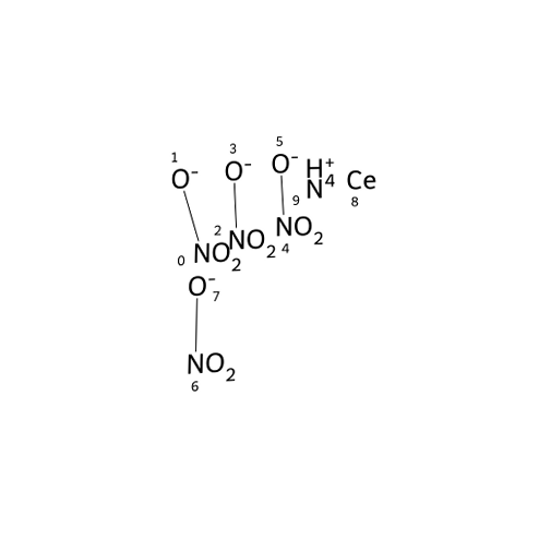 O=[N+]([O-])[O-].O=[N+]([O-])[O-].O=[N+]([O-])[O-].O=[N+]([O-])[O-].[Ce].[NH4+]